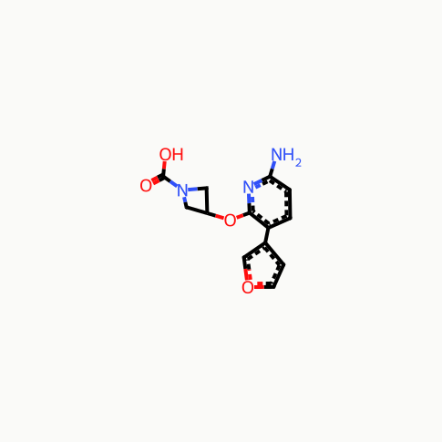 Nc1ccc(-c2ccoc2)c(OC2CN(C(=O)O)C2)n1